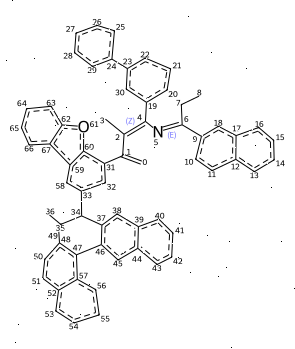 C=C(/C(C)=C(\N=C(/CC)c1ccc2ccccc2c1)c1cccc(-c2ccccc2)c1)c1cc(C(CC)c2cc3ccccc3cc2-c2c(C)ccc3ccccc23)cc2c1oc1ccccc12